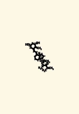 C=C1/C(=C\C=C2/CCC[C@]3(C)[C@@H](C(C)O[C@@H](C)C(=O)N(C)C)CC[C@@H]23)C[C@@H](O)C[C@@H]1O